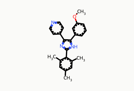 COc1cccc(-c2[nH]c(-c3c(C)cc(C)cc3C)nc2-c2ccncc2)c1